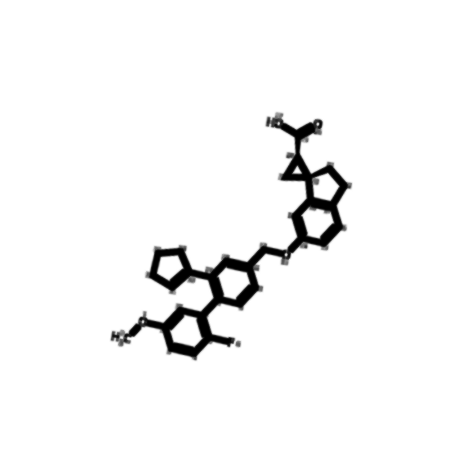 COc1ccc(F)c(-c2ccc(COc3ccc4c(c3)[C@]3(CC4)C[C@H]3C(=O)O)cc2C2=CCCC2)c1